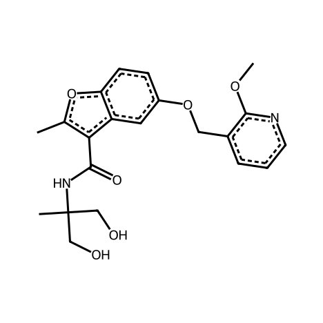 COc1ncccc1COc1ccc2oc(C)c(C(=O)NC(C)(CO)CO)c2c1